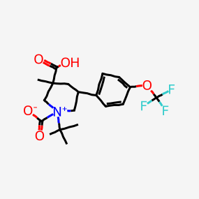 CC1(C(=O)O)CC(c2ccc(OC(F)(F)F)cc2)C[N+](C(=O)[O-])(C(C)(C)C)C1